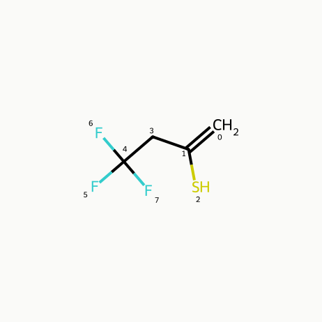 C=C(S)CC(F)(F)F